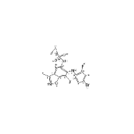 Cc1noc2c(F)c(Nc3ccc(Br)cc3F)c(NS(=O)(=O)C3CC3)nc12